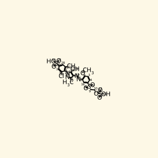 COc1ccc(S(=O)(=O)CCOS(=O)(=O)O)cc1N=Nc1c(C)nn(-c2c(C)cc(S(=O)(=O)O)cc2Cl)c1O